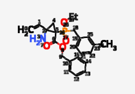 C=CC1(N)CC1(C(=O)OCc1ccccc1)P(=O)(Cc1cccc(C)c1)OCC